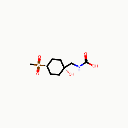 CS(=O)(=O)[C@H]1CC[C@@](O)(CNC(=O)O)CC1